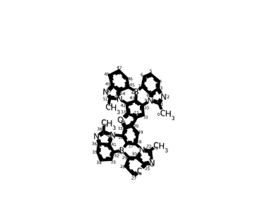 Cc1nc2cccc3c2n1-c1cc2c(oc4c5c6c(cc42)-n2c(C)nc4cccc(c42)B6c2cccc4nc(C)n-5c24)c2c1B3c1cccc3nc(C)n-2c13